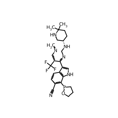 C=N/C=C(\C(=N/CN[C@H]1CCC(C)(C)NC1)c1c[nH]c2c(P3CCCO3)c(C#N)ccc12)C(F)(F)F